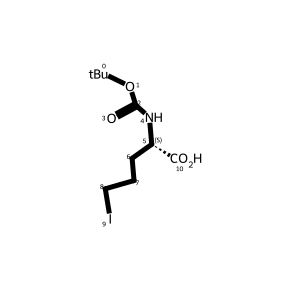 CC(C)(C)OC(=O)N[C@@H](CCCI)C(=O)O